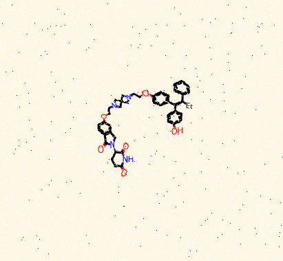 CC/C(=C(\c1ccc(O)cc1)c1ccc(OCCN2CC3(C2)CN(CCOc2ccc4c(c2)CN(C2CCC(=O)NC2=O)C4=O)C3)cc1)c1ccccc1